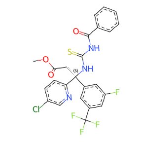 COC(=O)C[C@](NC(=S)NC(=O)c1ccccc1)(c1cc(F)cc(C(F)(F)F)c1)c1ccc(Cl)cn1